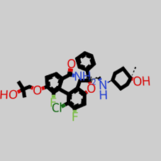 CC(C)(O)COc1ccc(C(N)=O)c(-c2c(Cl)c(F)cc3c2C[C@@](CN[C@H]2CC[C@](C)(O)CC2)(c2ccccc2)O3)c1F